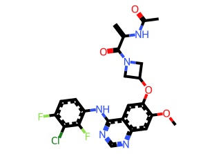 C=C(NC(C)=O)C(=O)N1CC(Oc2cc3c(Nc4ccc(F)c(Cl)c4F)ncnc3cc2OC)C1